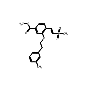 COC(=O)c1ccc(/C=C/S(C)(=O)=O)c(OCCc2cccc(C)c2)c1